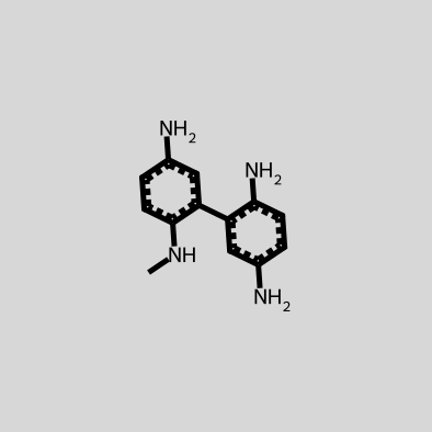 CNc1ccc(N)cc1-c1cc(N)ccc1N